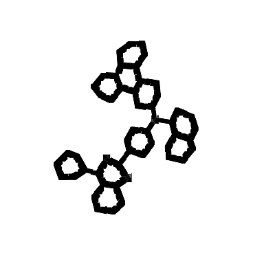 c1ccc(-c2nc(-c3ccc(N(c4ccc5c6ccccc6c6ccccc6c5c4)c4cccc5ccccc45)cc3)nc3ccccc23)cc1